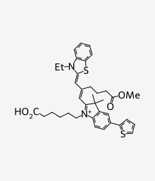 CCN1/C(=C/C(=C/C2=[N+](CCCCCC(=O)O)c3ccc(-c4cccs4)cc3C2(C)C)CCCC(=O)OC)Sc2ccccc21